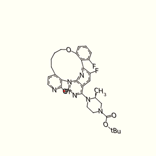 CC(C)c1nccc2c1-n1c(=O)nc(N3CCN(C(=O)OC(C)(C)C)C[C@@H]3C)c3cc(F)c(nc31)-c1c(F)cccc1OCCCC2